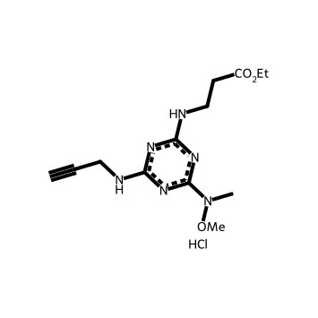 C#CCNc1nc(NCCC(=O)OCC)nc(N(C)OC)n1.Cl